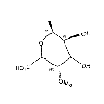 CO[C@@H]1C(C(=O)O)O[C@@H](C)[C@@H](O)C1O